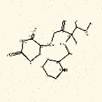 C=C(CNC1CCC(=O)NC1=O)C(C)(OCC1CCCCN1)C(C)OC